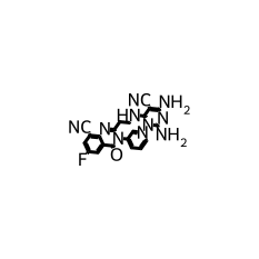 N#Cc1c(N)nc(N)nc1NCCc1nc2c(C#N)cc(F)cc2c(=O)n1-c1cccnc1